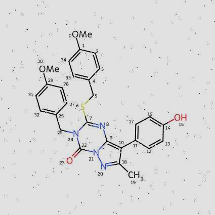 COc1ccc(CSc2nc3c(-c4ccc(O)cc4)c(C)nn3c(=O)n2Cc2ccc(OC)cc2)cc1